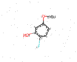 CCCCOc1ccc(F)c(O)c1